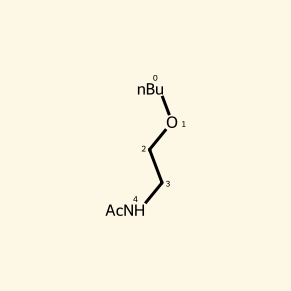 [CH2]CCCOCCNC(C)=O